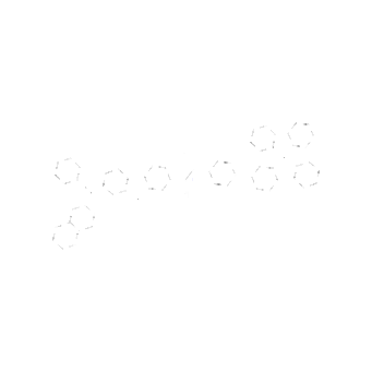 [2H]/C(=C(/[2H])c1ccc2c(c1)C(C)(C)c1cc(N(c3ccccc3)c3ccc4ccccc4c3)ccc1-2)c1ccc(-c2ccc3c(c2)C(c2ccccc2)(c2ccccc2)c2ccccc2-3)cc1